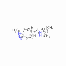 CCC(C)(C)NC[C@@H]1[C@@H]2CCc3c(nnn3C)CC[C@@H]21